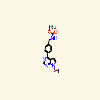 CC(C)(C)OC(=O)NCc1ccc(-c2ncnc3c2ccn3SI)cc1